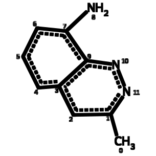 Cc1cc2cccc(N)c2nn1